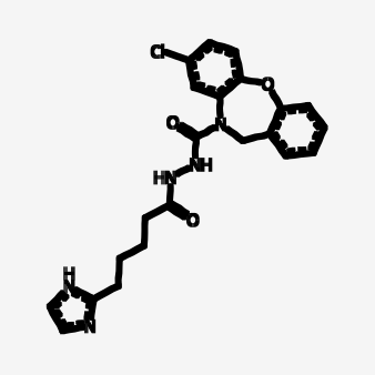 O=C(CCCCc1ncc[nH]1)NNC(=O)N1Cc2ccccc2Oc2ccc(Cl)cc21